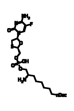 CCCCCCCCCCCCCCCC[C@@H](N)COP(=O)(O)OC[C@@H]1O[C@H](n2cc(F)c(N)nc2=O)CS1